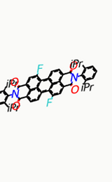 CC(C)c1cccc(C(C)C)c1N1C(=O)c2ccc3c4c(F)cc5c6c(ccc(c7c(F)cc(c2c37)C1=O)c64)C(=O)N(c1c(C(C)C)cccc1C(C)C)C5=O